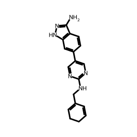 Nc1n[nH]c2cc(-c3cnc(NCC4=CCCC=C4)nc3)ccc12